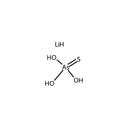 O[As](O)(O)=S.[LiH]